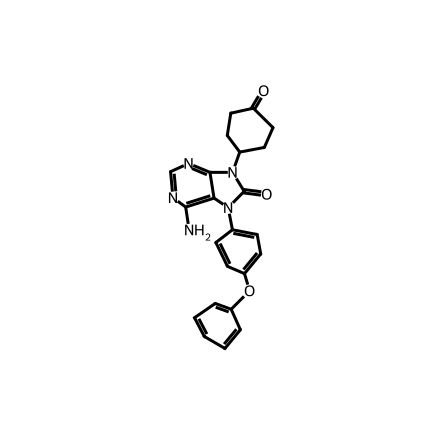 Nc1ncnc2c1n(-c1ccc(Oc3ccccc3)cc1)c(=O)n2C1CCC(=O)CC1